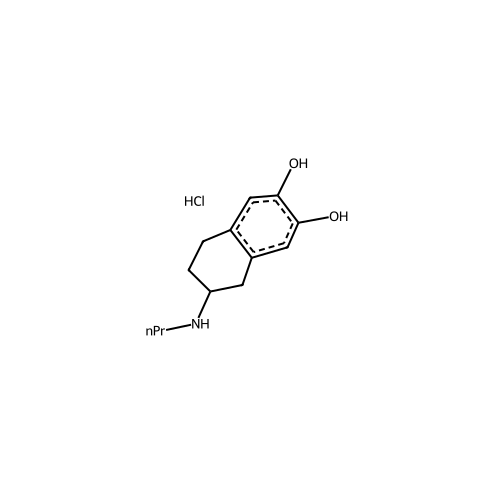 CCCNC1CCc2cc(O)c(O)cc2C1.Cl